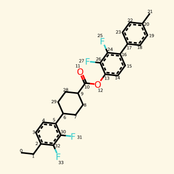 CCc1ccc(C2CCC(C(=O)Oc3ccc(-c4ccc(C)cc4)c(F)c3F)CC2)c(F)c1F